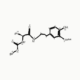 COc1cc(CCNC(=O)[C@@H](NC(=O)OC(C)(C)C)C(C)C)ccc1O